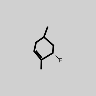 CC1=CCC(C)C[C@@H]1F